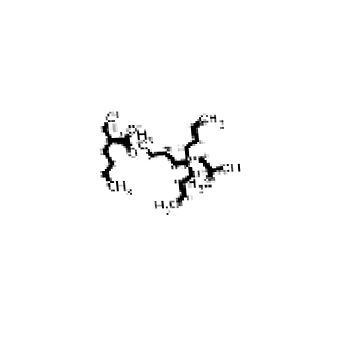 CCCCC(CC)C(=O)[O-].CCCC[P+](CCCC)(CCCC)CC(C)O